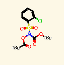 CC(C)(C)OC(=O)N(OC(=O)C(C)(C)C)S(=O)(=O)c1ccccc1Cl